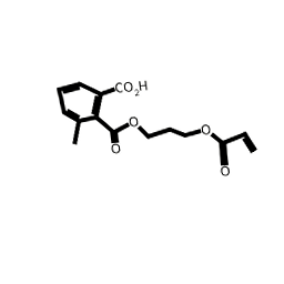 C=CC(=O)OCCCOC(=O)c1c(C)cccc1C(=O)O